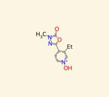 CCc1c[n+](O)ccc1-c1nn(C)c(=O)o1